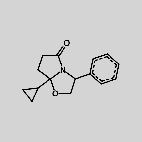 O=C1CCC2(C3CC3)OCC(c3ccccc3)N12